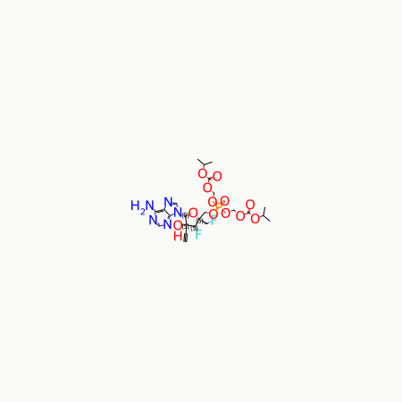 C#C[C@@]1(O)[C@H](F)[C@@](CF)(COP(=O)(OCOC(=O)OC(C)C)OCOC(=O)OC(C)C)O[C@H]1n1cnc2c(N)ncnc21